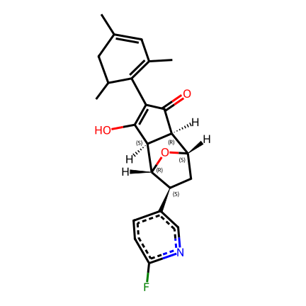 CC1=CC(C)=C(C2=C(O)[C@@H]3[C@@H]4O[C@@H](C[C@H]4c4ccc(F)nc4)[C@@H]3C2=O)C(C)C1